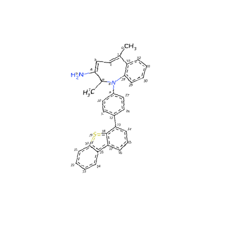 C/C1=C\C=C(\N)C(C)N(c2ccc(-c3cccc4c3sc3ccccc34)cc2)c2ccccc21